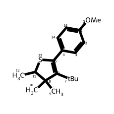 COc1ccc(C2=C(C(C)(C)C)C(C)(C)C(C)S2)cc1